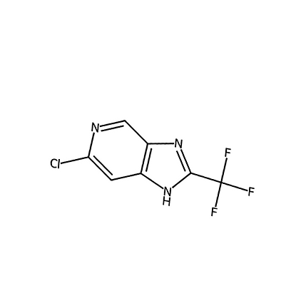 FC(F)(F)c1nc2cnc(Cl)cc2[nH]1